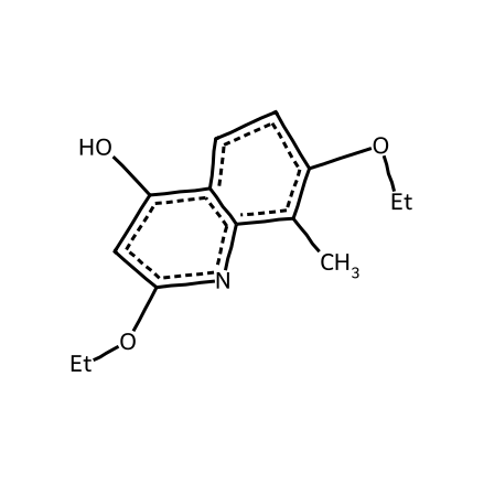 CCOc1cc(O)c2ccc(OCC)c(C)c2n1